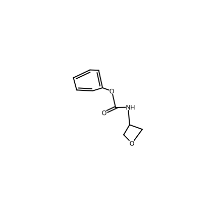 O=C(NC1COC1)Oc1ccccc1